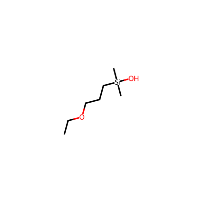 CCOCCC[Si](C)(C)O